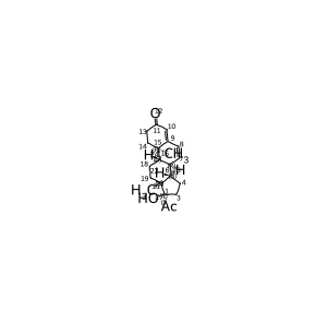 CC(=O)[C@@]1(O)CC[C@H]2[C@@H]3C=CC4=CC(=O)CC[C@]4(C)[C@H]3CC[C@@]21C